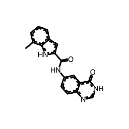 Cc1cccc2cc(C(=O)Nc3ccc4nc[nH]c(=O)c4c3)[nH]c12